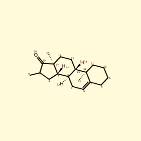 CC1C[C@H]2[C@@H]3CC=C4CCCC[C@]4(C)[C@H]3CC[C@]2(C)C1=O